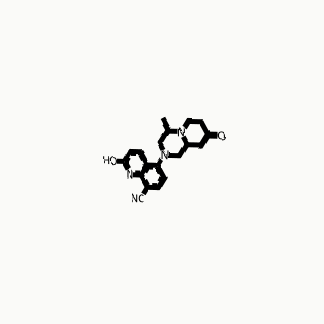 CC1CN(c2ccc(C#N)c3nc(O)ccc23)CC2CC(=O)CCN12